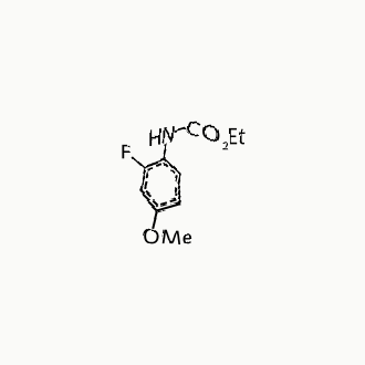 CCOC(=O)Nc1ccc(OC)cc1F